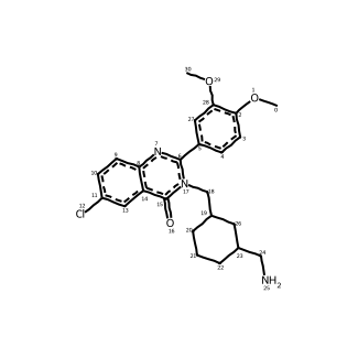 COc1ccc(-c2nc3ccc(Cl)cc3c(=O)n2CC2CCCC(CN)C2)cc1OC